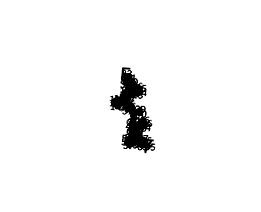 C/C(=C\C=C(\c1ccc(N(c2ccccc2)c2ccc3c(c2)c2ccccc2n3-c2ccc(F)cc2)cc1)C1C=C1)N(c1ccccc1)C1(C)C=Cc2c(c3ccccc3n2-c2ccc(F)cc2)C1